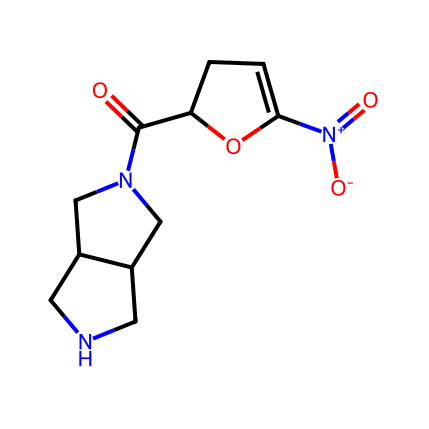 O=C(C1CC=C([N+](=O)[O-])O1)N1CC2CNCC2C1